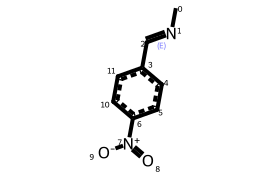 C/N=C/c1ccc([N+](=O)[O-])cc1